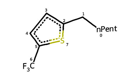 CCCCCCc1ccc(C(F)(F)F)s1